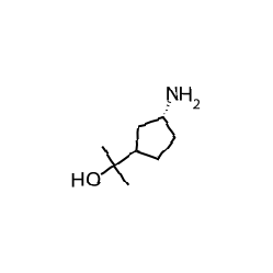 CC(C)(O)C1CC[C@@H](N)C1